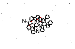 N#Cc1ccc(-c2c(-n3c4ccccc4c4ccccc43)c(C#N)c(-n3c4ccccc4c4c5oc6ccccc6c5c5c(c6ccccc6n5-c5ccccc5)c43)c(C#N)c2-n2c3ccccc3c3ccccc32)cc1